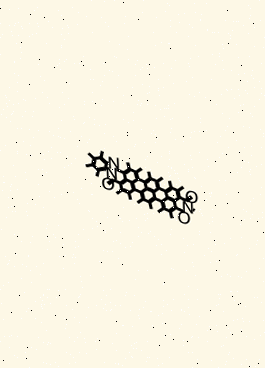 Cc1c(C)c(C)c2c(nc3c4c(C)c(C)c5c6c(C)c(C)c7c8c(C)c(C)c9c%10c(c(C)c(C)c(c%11c(C)c(C)c(c%12c(C)c(C)c(c(=O)n32)c4c%125)c6c%117)c%108)C(=O)N(C)C9=O)c1C